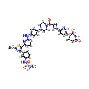 CCN(C)S(=O)(=O)Nc1cccc(-c2nc(C(C)(C)C)sc2-c2ccnc(Nc3ccc(N4CCN(C(=O)C5CN(c6ccc([C@@H]7CCC(=O)NC7=O)cn6)C5)CC4)cn3)n2)c1F